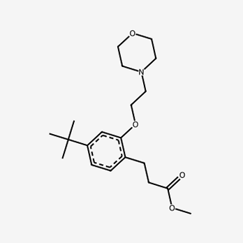 COC(=O)CCc1ccc(C(C)(C)C)cc1OCCN1CCOCC1